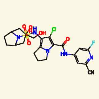 N#Cc1cc(NC(=O)c2c(Cl)c(NS(=O)(=O)N3C4CCC3CC(O)(CO)C4)c3n2CCC3)cc(F)n1